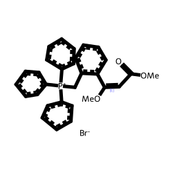 COC(=O)/C=C(/OC)c1ccccc1C[P+](c1ccccc1)(c1ccccc1)c1ccccc1.[Br-]